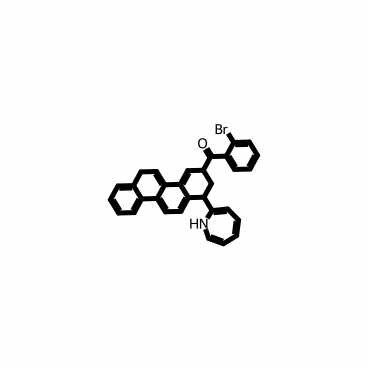 O=C(c1ccccc1Br)C1C=c2c(ccc3c2=CCc2ccccc2-3)C(C2=CC=CC=CN2)C1